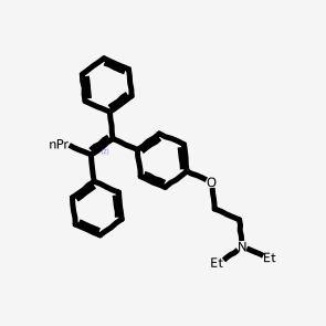 CCC/C(=C(\c1ccccc1)c1ccc(OCCN(CC)CC)cc1)c1ccccc1